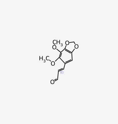 COc1c(/C=C/C=O)cc2c(c1OC)OCO2